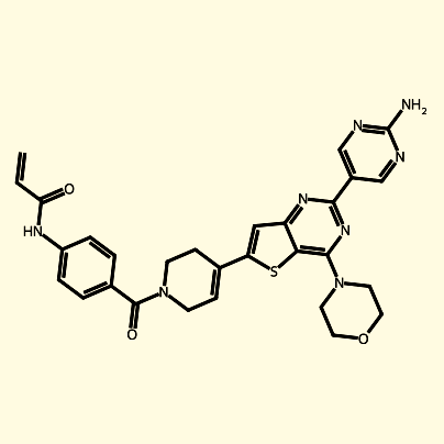 C=CC(=O)Nc1ccc(C(=O)N2CC=C(c3cc4nc(-c5cnc(N)nc5)nc(N5CCOCC5)c4s3)CC2)cc1